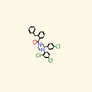 O=C(c1ccccc1Cc1ccccc1)N1CCN(c2ccc(Cl)cc2Cl)C(c2ccc(Cl)cc2)C1